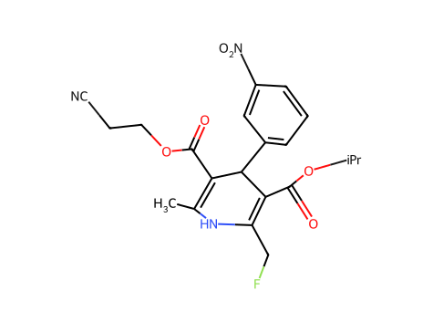 CC1=C(C(=O)OCCC#N)C(c2cccc([N+](=O)[O-])c2)C(C(=O)OC(C)C)=C(CF)N1